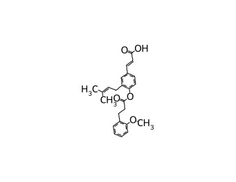 COc1ccccc1CCC(=O)Oc1ccc(/C=C/C(=O)O)cc1CC=C(C)C